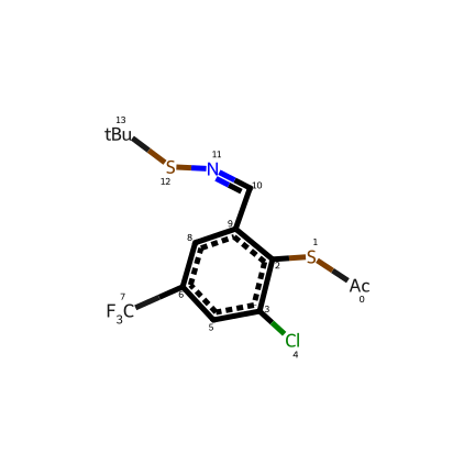 CC(=O)Sc1c(Cl)cc(C(F)(F)F)cc1/C=N\SC(C)(C)C